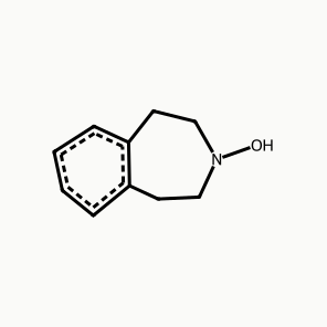 ON1CCc2ccccc2CC1